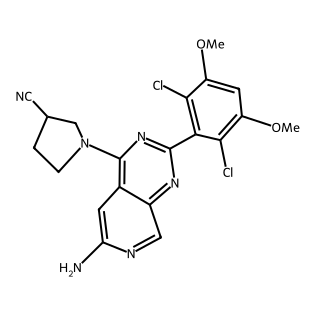 COc1cc(OC)c(Cl)c(-c2nc(N3CCC(C#N)C3)c3cc(N)ncc3n2)c1Cl